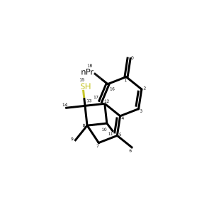 C=C(/C=C\C1=C(C)CC2(C)C(C)C1C2(C)S)C(=C)CCC